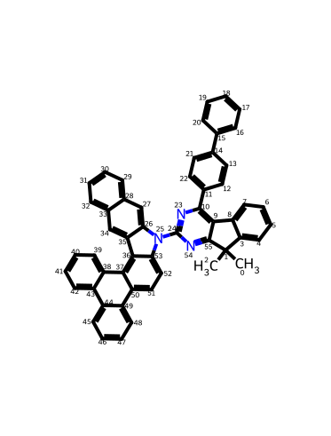 CC1(C)c2ccccc2-c2c(-c3ccc(-c4ccccc4)cc3)nc(-n3c4cc5ccccc5cc4c4c5c6ccccc6c6ccccc6c5ccc43)nc21